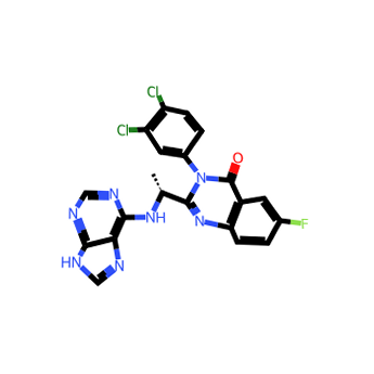 C[C@@H](Nc1ncnc2[nH]cnc12)c1nc2ccc(F)cc2c(=O)n1-c1ccc(Cl)c(Cl)c1